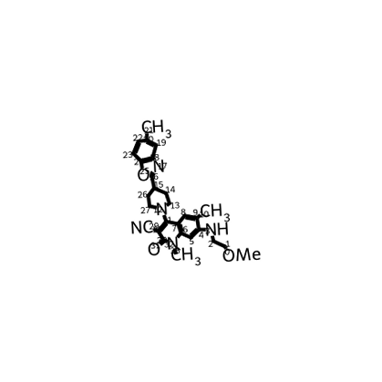 COCCNc1cc2c(cc1C)c(N1CCC(c3nc4cc(C)ccc4o3)CC1)c(C#N)c(=O)n2C